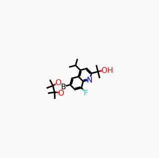 CC(C)c1cc(C(C)(C)O)nc2c(F)cc(B3OC(C)(C)C(C)(C)O3)cc12